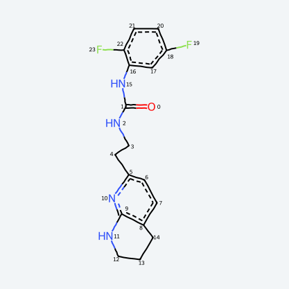 O=C(NCCc1ccc2c(n1)NCCC2)Nc1cc(F)ccc1F